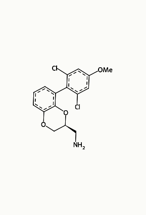 COc1cc(Cl)c(-c2cccc3c2O[C@@H](CN)CO3)c(Cl)c1